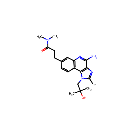 CCc1nc2c(N)nc3cc(CCC(=O)N(C)C)ccc3c2n1CC(C)(C)O